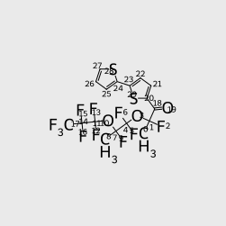 CC(F)(OC(F)(F)C(C)(F)OC(F)(F)C(F)(F)C(F)(F)F)C(=O)c1ccc(-c2cccs2)s1